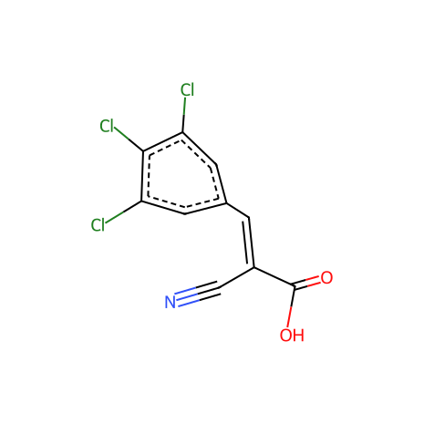 N#C/C(=C\c1cc(Cl)c(Cl)c(Cl)c1)C(=O)O